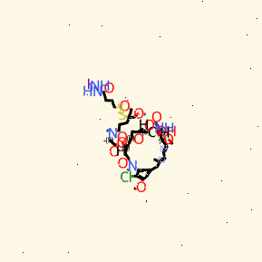 COCC(CCC(=O)N(C)[C@@H](C)C(=O)O[C@H]1CC(=O)N(C)c2cc(cc(OC)c2Cl)C/C(C)=C/C=C/[C@@H](OC)[C@@]2(O)C[C@H](OC(=O)N2)C2(C)C[C@@]1(C)O2)(COC)SSCCCC(=O)NNI